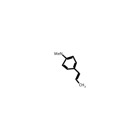 CC=Cc1ccc(NC)cc1